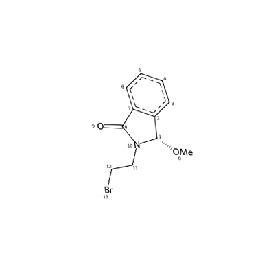 CO[C@H]1c2ccccc2C(=O)N1CCBr